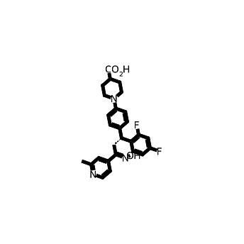 Cc1cc(/C(C[C@H](c2ccc(N3CCC(C(=O)O)CC3)cc2)c2ccc(F)cc2F)=N/O)ccn1